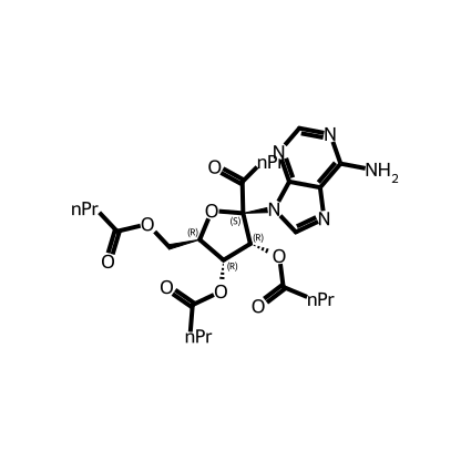 CCCC(=O)OC[C@H]1O[C@@](C(=O)CCC)(n2cnc3c(N)ncnc32)[C@H](OC(=O)CCC)[C@@H]1OC(=O)CCC